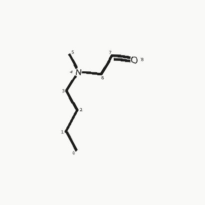 CCCCN(C)CC=O